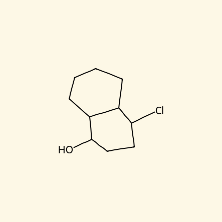 OC1CCC(Cl)C2CCCCC12